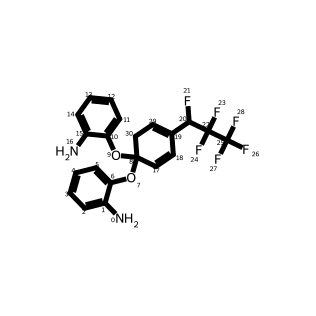 Nc1ccccc1OC1(Oc2ccccc2N)C=CC(C(F)C(F)(F)C(F)(F)F)=CC1